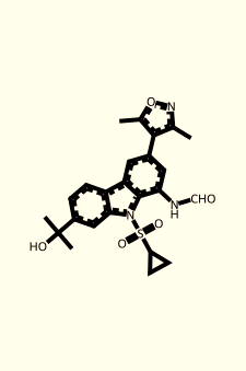 Cc1noc(C)c1-c1cc(NC=O)c2c(c1)c1ccc(C(C)(C)O)cc1n2S(=O)(=O)C1CC1